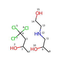 CC(O)CC(Cl)(Cl)Cl.CC(O)CNCCO